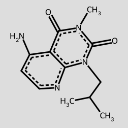 CC(C)Cn1c(=O)n(C)c(=O)c2c(N)ccnc21